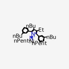 CCCCC1=C(c2cccc(CCCC)c2)[N+](=[N-])C(c2cccc(CCCC)c2)=C1CC.CCCC[CH2][Ni][CH2]CCCC